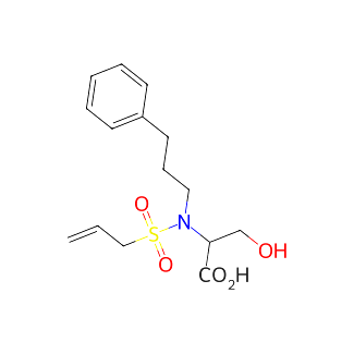 C=CCS(=O)(=O)N(CCCc1ccccc1)C(CO)C(=O)O